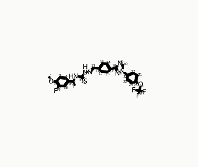 COc1ccc(C(C)NC(=S)N/N=C/c2ccc(-c3ncn(-c4ccc(OC(F)(F)F)cc4)n3)cc2)cc1F